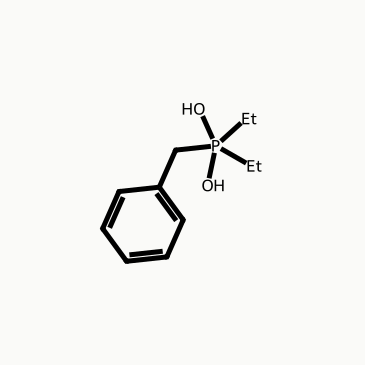 CCP(O)(O)(CC)Cc1ccccc1